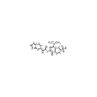 CC(C)c1nn(CC(=O)Nc2ccc3cncn3c2)c(=O)c2ccc(C(F)(F)F)cc12